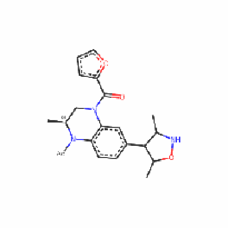 CC(=O)N1c2ccc(C3C(C)NOC3C)cc2N(C(=O)c2ccco2)C[C@@H]1C